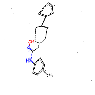 Cc1ccc(N/C(CC2CCC(c3ccccc3)CC2)=N/O)cc1